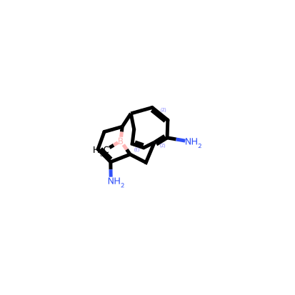 CB1C2CC3=C(N)\C=C/C(C\C=C\3)C1CC=C2N